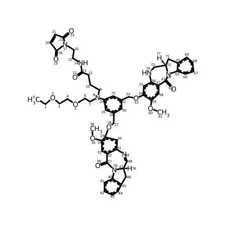 CCOCCOCCN(CCCC(=O)NCCN1C(=O)C=CC1=O)c1cc(COc2cc3c(cc2OC)C(=O)N2c4ccccc4C[C@H]2C=N3)cc(COc2cc3c(cc2OC)C(=O)N2c4ccccc4C[C@H]2CN3)c1